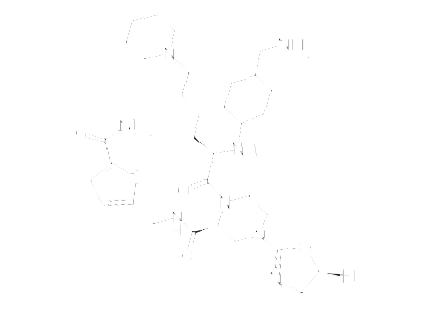 CC[C@@H]1OC(N2CCN(C(=O)[C@@H](CCCCN3CCCCC3)NC3CCC(CN)CC3)[C@H](C(=O)NCc3ccc(C(N)=O)s3)C2)=N[C@H]1C